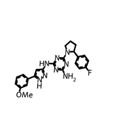 COc1cccc(-c2cc(Nc3nc(N)nc(N4CCCC4c4ccc(F)cc4)n3)n[nH]2)c1